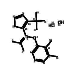 C[C](C)=[Ti]([O]c1cccc(C)c1C)[C]1=C(C(C)(C)C)C=CC1.Cl.Cl